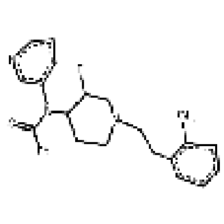 CCC(=O)N(c1cccnc1)C1CCN(CCc2ccccc2O)CC1F